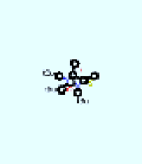 CC(C)(C)c1ccc(N2B3c4oc5ccc(C(C)(C)C)cc5c4N(c4ccc(C(C)(C)C)cc4)c4cc5c(oc6ccccc65)c(c43)-c3cc4c(cc32)sc2ccccc24)cc1